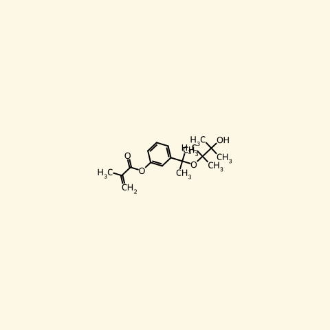 C=C(C)C(=O)Oc1cccc(C(C)(C)OC(C)(C)C(C)(C)O)c1